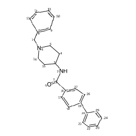 O=C(NC1CCN(Cc2ccccc2)CC1)c1ccc(-c2ccccc2)cc1